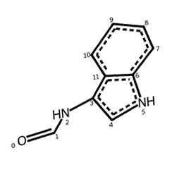 O=CNc1c[nH]c2ccccc12